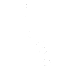 O=S(=O)(c1ccc(-c2ccccc2)cc1)N1CCc2cc([C@@H]3C[C@H]3NCC3CCNCC3)ccc21